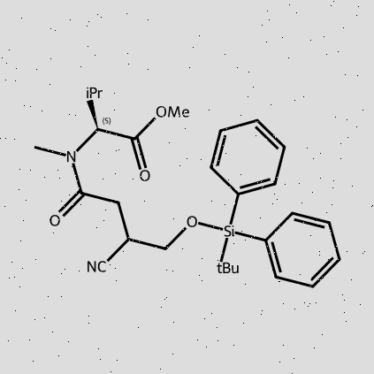 COC(=O)[C@H](C(C)C)N(C)C(=O)CC(C#N)CO[Si](c1ccccc1)(c1ccccc1)C(C)(C)C